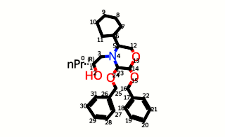 CCC[C@@H](O)CN1C(C2CCCCC2)COC(OCc2ccccc2)C1OCc1ccccc1